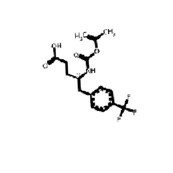 C=C(C)OC(=O)N[C@H](CCC(=O)O)Cc1ccc(C(F)(F)F)cc1